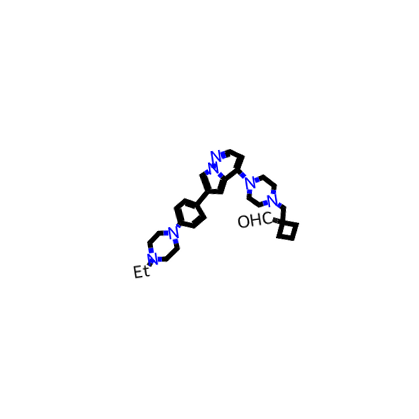 CCN1CCN(c2ccc(-c3cc4c(N5CCN(CC6(C=O)CCC6)CC5)ccnn4c3)cc2)CC1